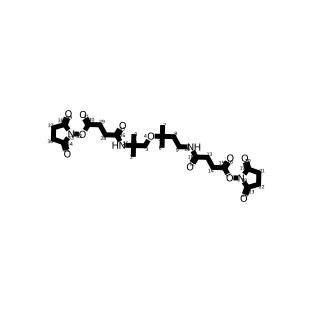 CC(C)(COC(C)(C)CCNC(=O)CCC(=O)ON1C(=O)CCC1=O)NC(=O)CCC(=O)ON1C(=O)CCC1=O